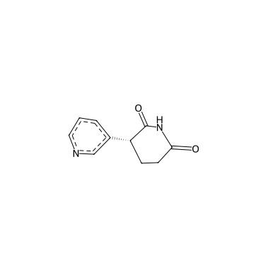 O=C1CC[C@H](c2cccnc2)C(=O)N1